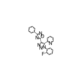 Fc1ccccc1-n1nnc(-c2nc(-c3ccccc3)no2)c1-c1ccccn1